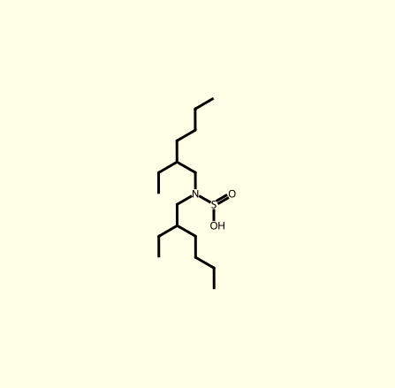 CCCCC(CC)CN(CC(CC)CCCC)S(=O)O